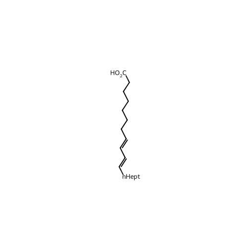 CCCCCCCC=CC=CCCCCCCC(=O)O